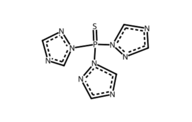 S=P(n1cncn1)(n1cncn1)n1cncn1